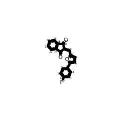 O=C1C(=Cc2ccc(-c3ccc(F)cc3)o2)C(=O)c2ccccc21